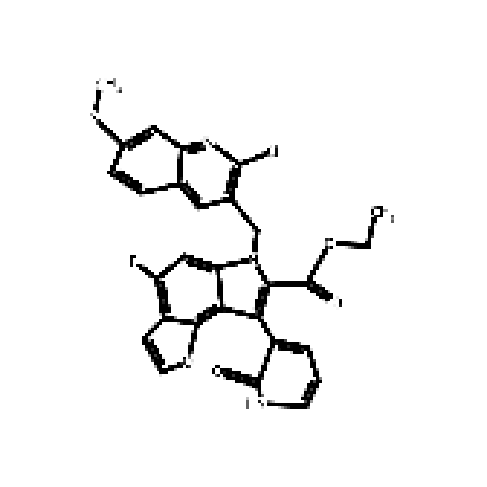 CCOC(=O)c1c(-c2ccc[nH]c2=O)c2c3occc3c(F)cc2n1Cc1cc2ccc(SC)cc2nc1Cl